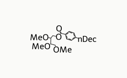 CCCCCCCCCCc1ccc(C(=O)OCC(OC)C(COC)OC)cc1